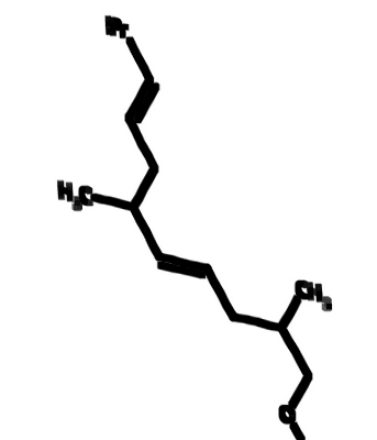 CCCCOCC(C)CC=CC(C)CC=CC(C)C